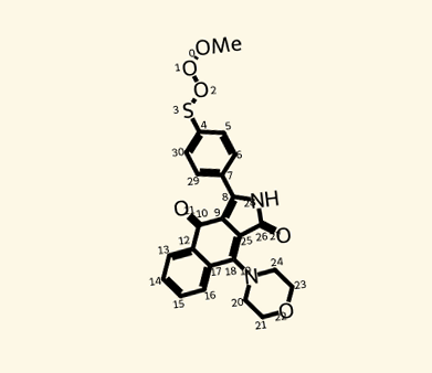 COOOSc1ccc(C2=C3C(=O)c4ccccc4C(N4CCOCC4)=C3C(=O)N2)cc1